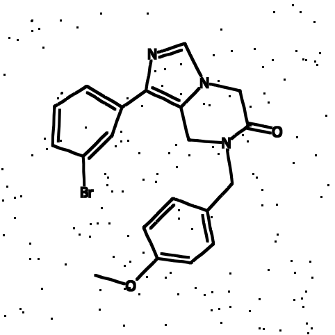 COc1ccc(CN2Cc3c(-c4cccc(Br)c4)ncn3CC2=O)cc1